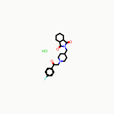 Cl.O=C(CN1CCC(CN2C(=O)C3CCCCC3C2=O)CC1)c1ccc(F)cc1